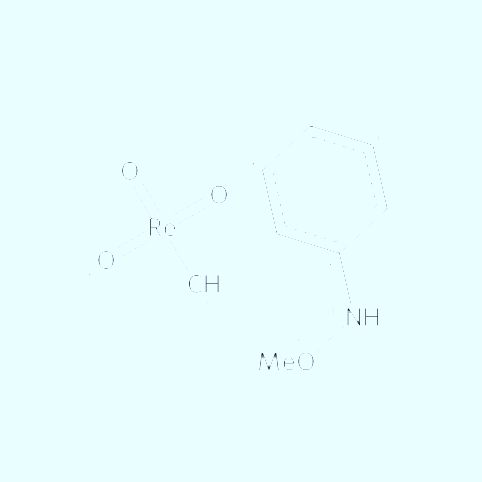 CONc1ccccc1.[CH3][Re](=[O])(=[O])=[O]